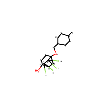 CC1CCC(COC23CCC(O)(CC2)C(F)(F)C3(F)F)CC1